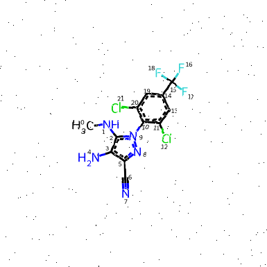 CNc1c(N)c(C#N)nn1-c1c(Cl)cc(C(F)(F)F)cc1Cl